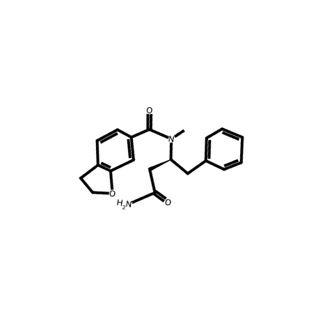 CN(C(=O)c1ccc2c(c1)OCC2)[C@H](CC(N)=O)Cc1ccccc1